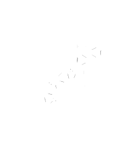 Cc1c(C)n(Cc2ccc(-c3ccccc3C(=O)O)cc2)c2ccc(C(=O)NC(C)c3ccc(C(F)(F)F)nc3)cc12